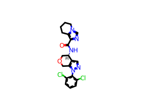 O=C(N[C@H]1COCc2c1cnn2-c1c(Cl)cccc1Cl)c1ncn2c1CCCC2